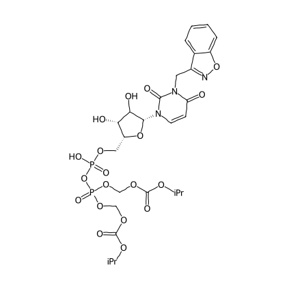 CC(C)OC(=O)OCOP(=O)(OCOC(=O)OC(C)C)OP(=O)(O)OC[C@H]1O[C@@H](n2ccc(=O)n(Cc3noc4ccccc34)c2=O)C(O)[C@H]1O